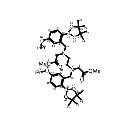 COC(=O)CN(CCN(CC(=O)OC)Cc1cc(OC(C)C)ccc1B1OC(C)(C)C(C)(C)O1)Cc1cc(OC(C)C)ccc1B1OC(C)(C)C(C)(C)O1